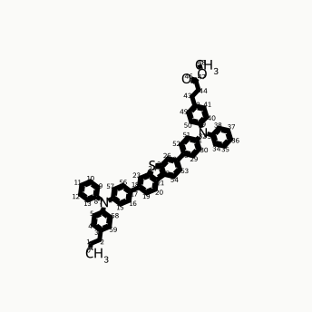 CCCc1ccc(N(c2ccccc2)c2ccc(-c3ccc4c(c3)sc3cc(-c5ccc(N(c6ccccc6)c6ccc(CCC(=O)OC)cc6)cc5)ccc34)cc2)cc1